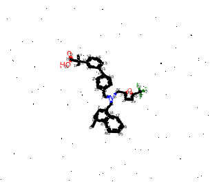 Cc1ccc(CN(Cc2ccc(-c3cccc(C(C)(C)C(=O)O)c3)cc2)Cc2ccc(C(F)(F)F)o2)c2ccccc12